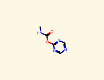 CNC(=O)Oc1ncncn1